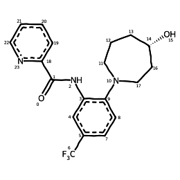 O=C(Nc1cc(C(F)(F)F)ccc1N1CCC[C@H](O)CC1)c1ccccn1